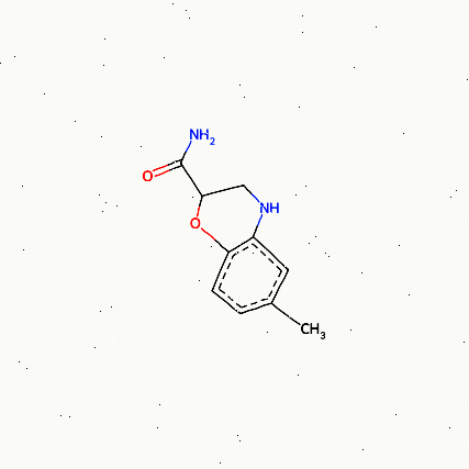 Cc1ccc2c(c1)NCC(C(N)=O)O2